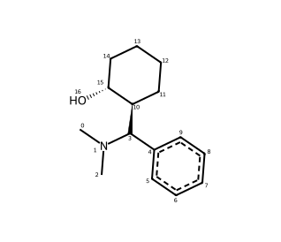 CN(C)C(c1ccccc1)[C@@H]1CCCC[C@H]1O